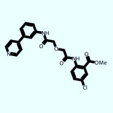 COC(=O)c1cc(Cl)ccc1NC(=O)COCC(=O)Nc1cccc(-c2ccncc2)c1